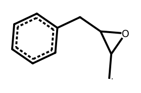 [CH2]C1OC1Cc1ccccc1